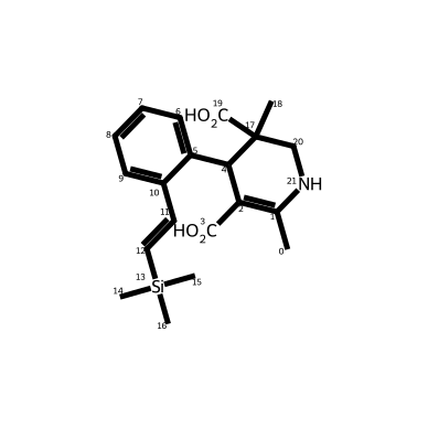 CC1=C(C(=O)O)C(c2ccccc2C=C[Si](C)(C)C)C(C)(C(=O)O)CN1